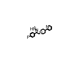 CNN=C(CN1CCC(c2ccccn2)CC1)c1ccc(F)cc1